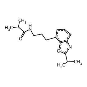 CC(C)C(=O)NCCCc1cccc2nc(C(C)C)oc12